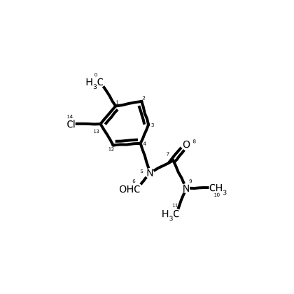 Cc1ccc(N(C=O)C(=O)N(C)C)cc1Cl